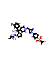 C=CC(=O)N[C@H]1CCC[C@@H]1[C@](C#N)(c1cccc(F)c1)C1CCN(CC2CN(c3ccc(S(=O)(=O)C4CC4)cc3)C2)CC1